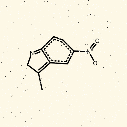 CC1=c2cc([N+](=O)[O-])ccc2=NC1